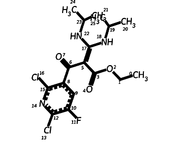 CCOC(=O)C(C(=O)c1cc(F)c(Cl)nc1Cl)=C(NC(C)C)NC(C)C